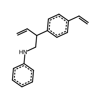 C=Cc1ccc(C(C=C)CNc2ccccc2)cc1